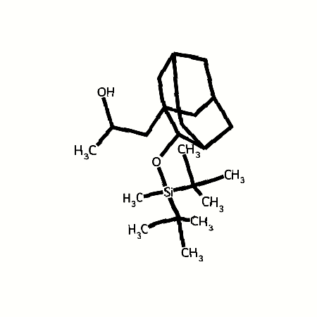 CC(O)CC12CC3CC(CC(C3)C1O[Si](C)(C(C)(C)C)C(C)(C)C)C2